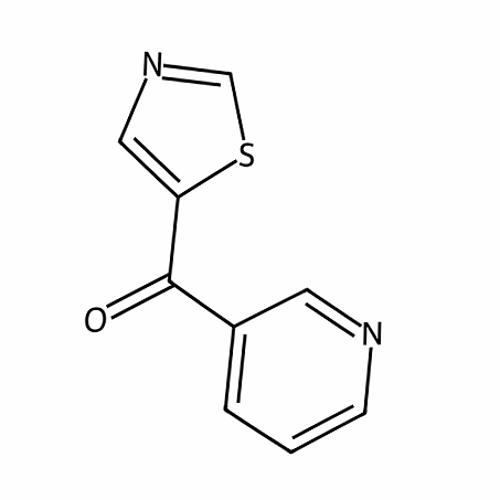 O=C(c1cccnc1)c1cncs1